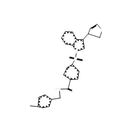 O=C(NCc1ccc(F)cc1)c1ccc(S(=O)(=O)n2cc(C3C=COC3)c3ccccc32)cc1